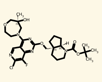 CC(C)(C)OC(=O)N1CCC[C@@]2(COc3nc(N4CCOC[C@@](C)(O)C4)c4cnc(Cl)c(F)c4n3)CCC[C@@H]12